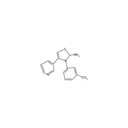 Cc1cccc(N2C(c3cccnc3)=CSC2N)c1